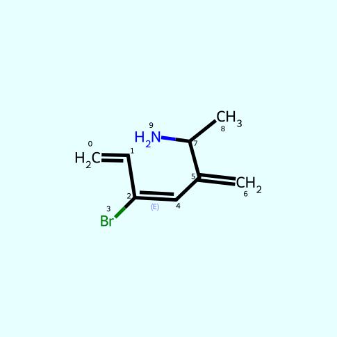 C=C/C(Br)=C\C(=C)C(C)N